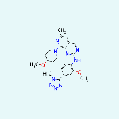 COc1cc(-c2nnnn2C)ccc1Nc1ncc2cc(C)nc(N3CCC(OC)CC3)c2n1